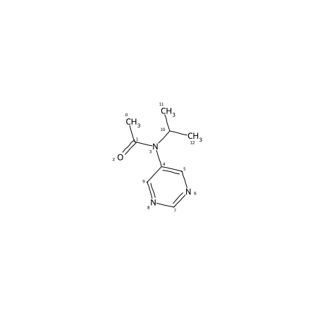 CC(=O)N(c1cncnc1)C(C)C